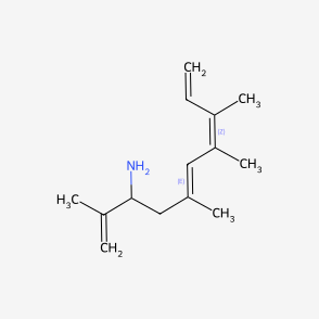 C=C/C(C)=C(C)\C=C(/C)CC(N)C(=C)C